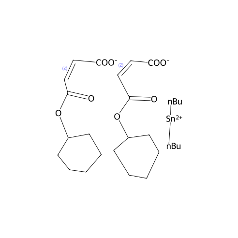 CCC[CH2][Sn+2][CH2]CCC.O=C([O-])/C=C\C(=O)OC1CCCCC1.O=C([O-])/C=C\C(=O)OC1CCCCC1